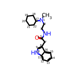 CN(CCNC(=O)Cc1c[nH]c2ccccc12)C1CCCCC1